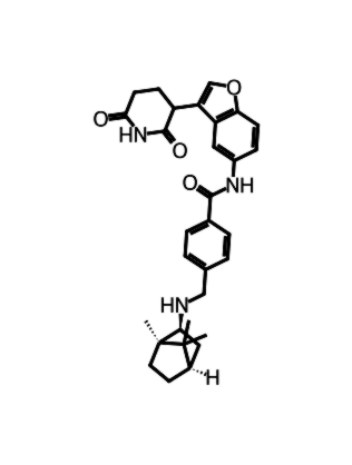 CC1(C)[C@@H]2CC[C@@]1(C)[C@@H](NCc1ccc(C(=O)Nc3ccc4occ(C5CCC(=O)NC5=O)c4c3)cc1)C2